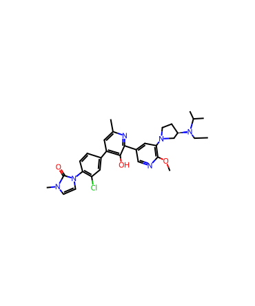 CCN(C(C)C)[C@@H]1CCN(c2cc(-c3nc(C)cc(-c4ccc(-n5ccn(C)c5=O)c(Cl)c4)c3O)cnc2OC)C1